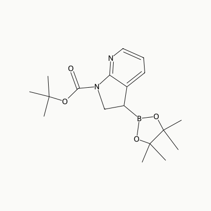 CC(C)(C)OC(=O)N1CC(B2OC(C)(C)C(C)(C)O2)c2cccnc21